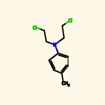 Cc1ccc(N(CCCl)CCCl)cc1